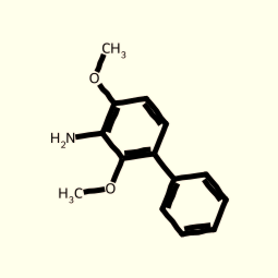 COc1ccc(-c2ccccc2)c(OC)c1N